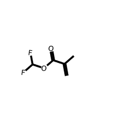 C=C(C)C(=O)OC(F)F